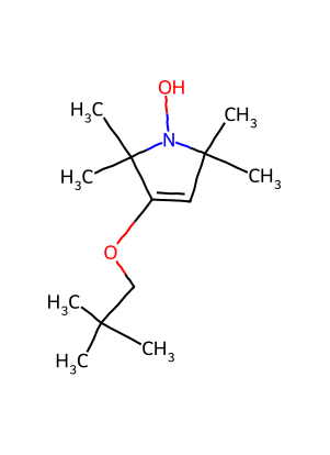 CC(C)(C)COC1=CC(C)(C)N(O)C1(C)C